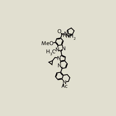 COc1cc(C(=O)N2CC3CCC2[C@@H]3N)cc2nc(-c3cc4ccc(-c5cccc6c5CCCN6C(C)=O)nc4n3CC3CC3)n(C)c12